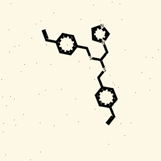 C=Cc1ccc(CSC(Cn2ccnc2)SCc2ccc(C=C)cc2)cc1